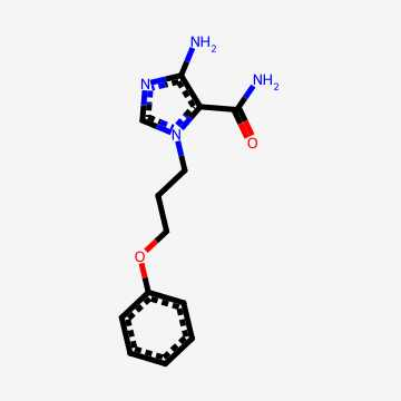 NC(=O)c1c(N)ncn1CCCOc1ccccc1